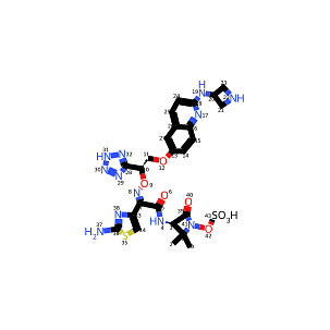 CC1(C)[C@H](NC(=O)/C(=N\O[C@@H](COc2ccc3nc(NC4CNC4)ccc3c2)c2nn[nH]n2)c2csc(N)n2)C(=O)N1OS(=O)(=O)O